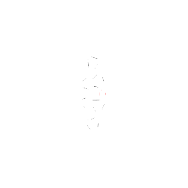 Cc1cc(C)c(-c2ccc3oc4ccc(-c5c(C)cc(C)cc5C)c5cccc(c6cccc2c36)c45)c(C)c1